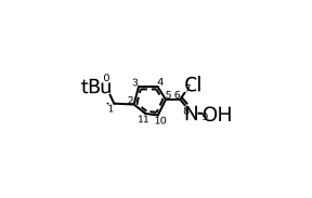 CC(C)(C)[CH]c1ccc(C(Cl)=NO)cc1